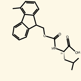 Cc1cccc2c1-c1ccccc1C2COC(=O)N[C@@H](CC(C)C)C(=O)O